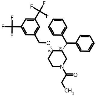 CCC(=O)N1CC[C@H](OCc2cc(C(F)(F)F)cc(C(F)(F)F)c2)[C@H](C(c2ccccc2)c2ccccc2)C1